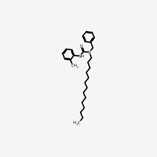 CCCCCCCCCCCCCCN(Cc1ccccc1)C(=O)Nc1ccccc1C